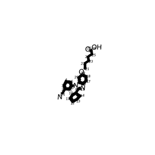 N#Cc1cccc(-n2c(-c3ccccc3)nc3ccc(OCCCCCC(=O)O)cc32)c1